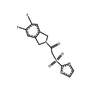 O=C(CS(=O)(=O)c1nccs1)N1Cc2cc(F)c(F)cc2C1